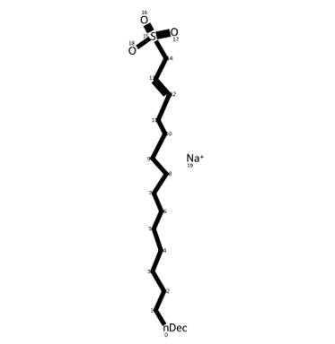 CCCCCCCCCCCCCCCCCCCCCC=CCS(=O)(=O)[O-].[Na+]